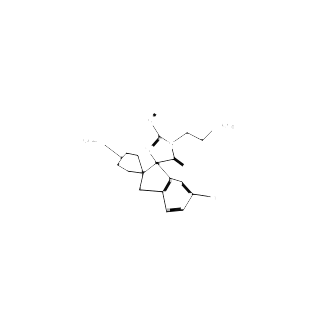 C=NC1=NC2(C(=O)N1CCOC)c1cc(Br)ccc1CC21CCC(OC)CC1